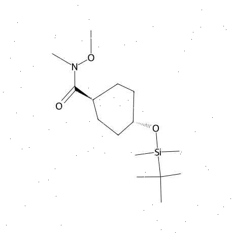 CON(C)C(=O)[C@H]1CC[C@H](O[Si](C)(C)C(C)(C)C)CC1